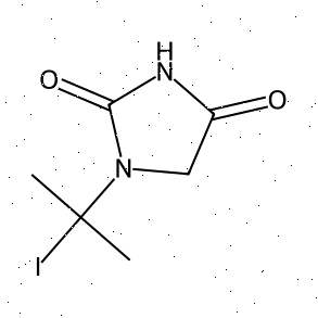 CC(C)(I)N1CC(=O)NC1=O